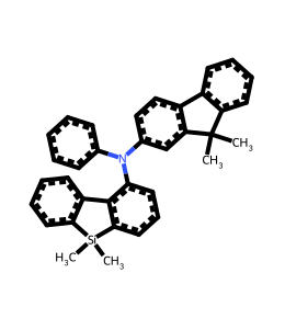 CC1(C)c2ccccc2-c2ccc(N(c3ccccc3)c3cccc4c3-c3ccccc3[Si]4(C)C)cc21